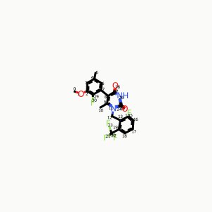 COc1cc(C)cc(-c2c(C)n(Cc3c(F)cccc3C(F)(F)F)c(=O)[nH]c2=O)c1F